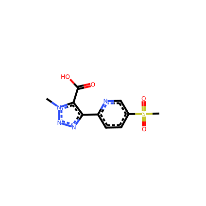 Cn1nnc(-c2ccc(S(C)(=O)=O)cn2)c1C(=O)O